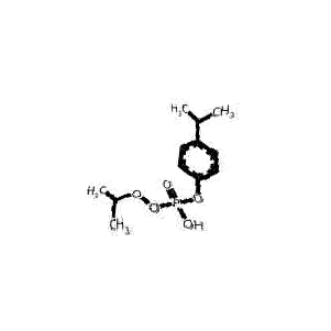 CC(C)OOP(=O)(O)Oc1ccc(C(C)C)cc1